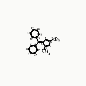 CC1=CC(C(C)(C)C)=CC1=C(c1ccccc1)c1ccccc1